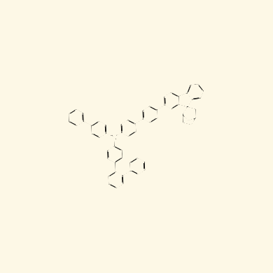 c1ccc(-c2ccc(N(c3ccc(-c4ccc(-c5ccc6c(c5)C5(CC7CCC5C7)c5ccccc5-6)cc4)cc3)c3ccc(-c4ccccc4-c4ccccc4)cc3)cc2)cc1